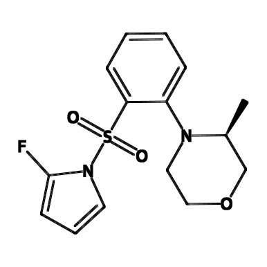 C[C@H]1COCCN1c1ccccc1S(=O)(=O)n1cccc1F